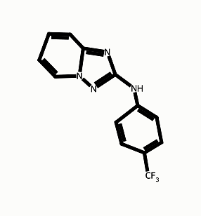 FC(F)(F)c1ccc(Nc2nc3ccccn3n2)cc1